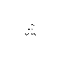 O.O.O.[Mn]